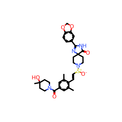 Cc1cc(C(=O)N2CCC(C)(O)CC2)cc(C)c1/C=C/[S+]([O-])N1CCC2(CC1)N=C(c1ccc3c(c1)OCO3)NC2=O